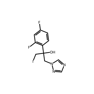 OC(CI)(Cn1cncn1)c1ccc(F)cc1F